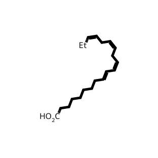 CC/C=C\C/C=C\C/C=C\C=C\CCCCCCCC(=O)O